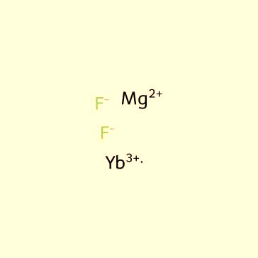 [F-].[F-].[Mg+2].[Yb+3]